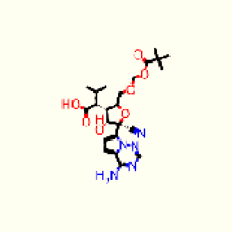 CC(C)C(C(=O)O)[C@@H]1C(COCOC(=O)C(C)(C)C)O[C@@](C#N)(c2ccc3c(N)ncnn23)[C@@H]1O